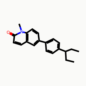 CCC(CC)c1ccc(-c2ccc3c(ccc(=O)n3C)c2)cc1